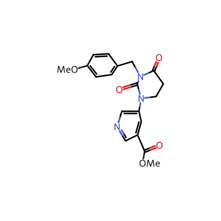 COC(=O)c1cncc(N2CCC(=O)N(Cc3ccc(OC)cc3)C2=O)c1